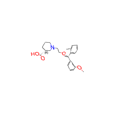 COc1cccc(C(=COCCN2CCC[C@@H](C(=O)O)C2)c2ccccc2C)c1